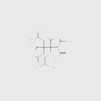 CC(=O)C(C(=O)O)C(OCC(C)O)(C(=O)O)C(CC(C)O)(CC(C)O)C(=O)O